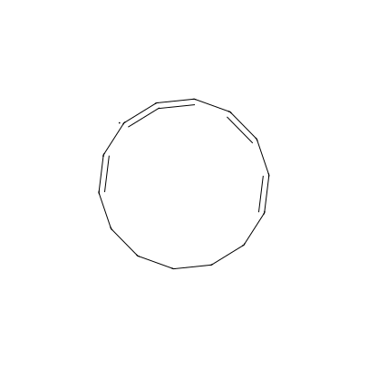 [C]1=C=CC=CC=CCCCCCC=C1